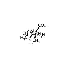 CC(=O)O.CC(=O)O.CC(=O)O.CC(=O)O.[LiH]